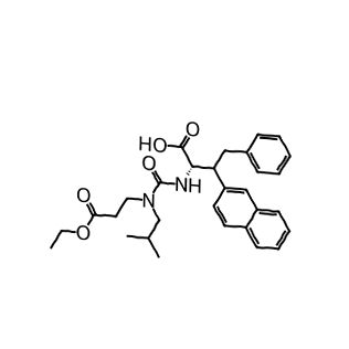 CCOC(=O)CCN(CC(C)C)C(=O)N[C@H](C(=O)O)C(Cc1ccccc1)c1ccc2ccccc2c1